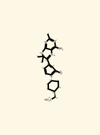 Cc1nc(N)c2c(n1)OC(C)(C)C(c1ccc([C@H]3CC[C@H](CC(=O)O)CC3)c(Cl)c1)=N2